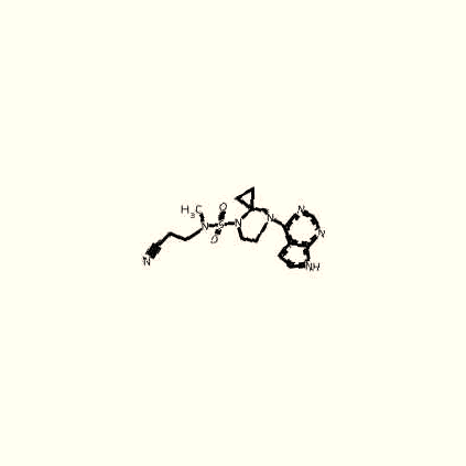 CN(CCC#N)S(=O)(=O)N1CCN(c2ncnc3[nH]ccc23)CC12CC2